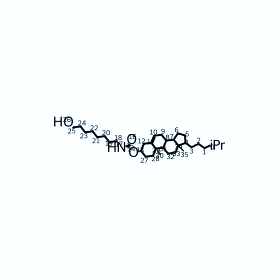 CC(C)CCCC1CCC2C3CC=C4C[C@H](OC(=O)NCCCCCCCCO)CC[C@@]4(C)C3CC[C@@]12C